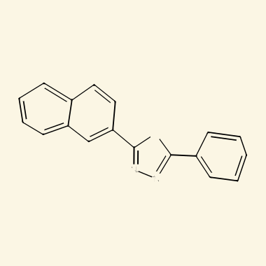 [c]1ccccc1-c1nnc(-c2ccc3ccccc3c2)o1